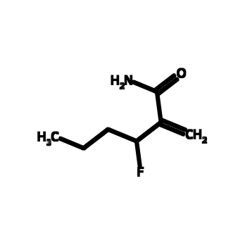 C=C(C(N)=O)C(F)CCC